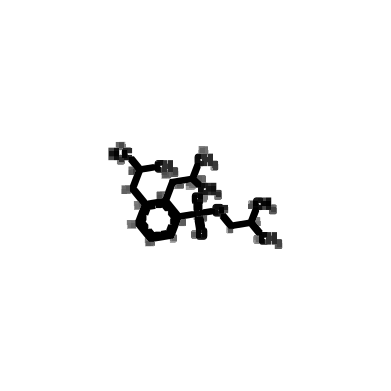 CC(C)COS(=O)(=O)c1cccc(CC(C)C)c1CC(C)C